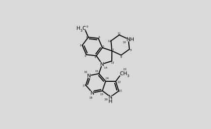 Cc1ccc2c(c1)C1(CCNCC1)CN2c1ncnc2[nH]cc(C)c12